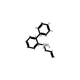 C=CC[SiH2]c1ccccc1-c1ccccc1